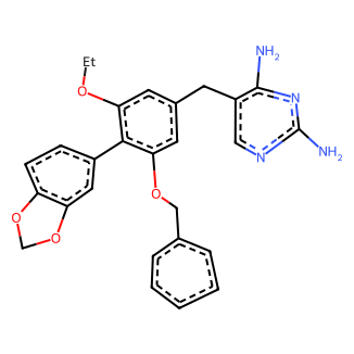 CCOc1cc(Cc2cnc(N)nc2N)cc(OCc2ccccc2)c1-c1ccc2c(c1)OCO2